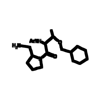 CC(=O)NC(C(=O)N1CCCC1CN)C(C)OCC1CCCCC1